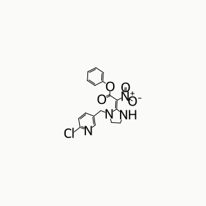 O=C(Oc1ccccc1)C(=C1NCCN1Cc1ccc(Cl)nc1)[N+](=O)[O-]